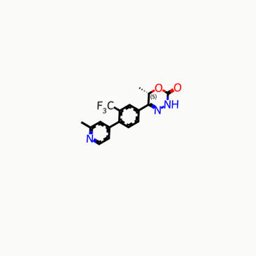 Cc1cc(-c2ccc(C3=NNC(=O)O[C@H]3C)cc2C(F)(F)F)ccn1